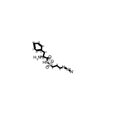 [N-]=[N+]=NCCCS(=O)(=O)NC(=O)[C@@H](N)Cc1ccccc1